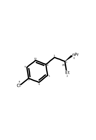 CCC[C@@H](CC)Cc1ccc(Cl)cc1